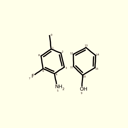 Cc1ccc(N)c(F)c1.Oc1ccccc1